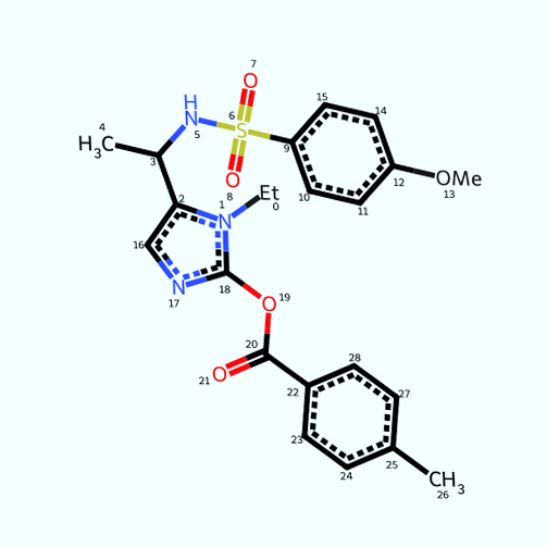 CCn1c(C(C)NS(=O)(=O)c2ccc(OC)cc2)cnc1OC(=O)c1ccc(C)cc1